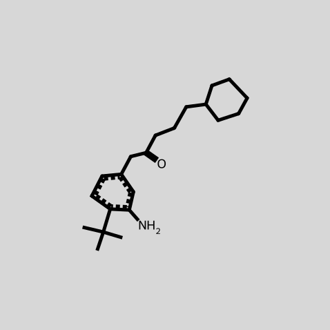 CC(C)(C)c1ccc(CC(=O)CCCC2CCCCC2)cc1N